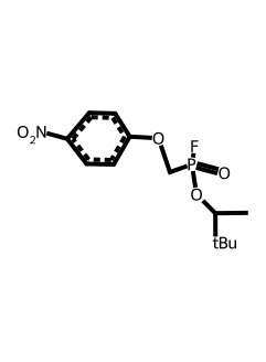 CC(OP(=O)(F)COc1ccc([N+](=O)[O-])cc1)C(C)(C)C